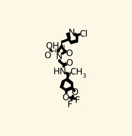 C[C@@H](NC(=O)CN1C(=O)[C@H](Cc2ccc(Cl)nc2)[C@H]1C(=O)O)c1ccc2c(c1)OC(F)(F)O2